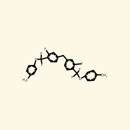 Cc1ccc(OC(F)(F)c2ccc(Cc3ccc(C(F)(F)Oc4ccc(C)cc4)c(F)c3)cc2F)cc1